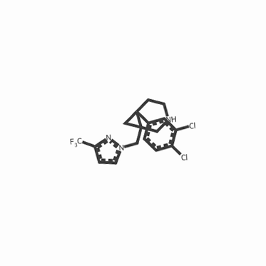 FC(F)(F)c1ccn(CC23CNCCC2(c2ccc(Cl)c(Cl)c2)C3)n1